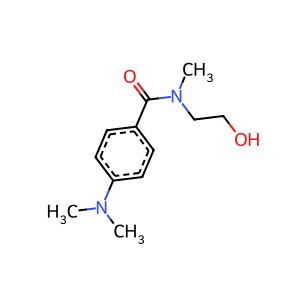 CN(CCO)C(=O)c1ccc(N(C)C)cc1